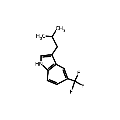 CC(C)Cc1c[nH]c2ccc(C(F)(F)F)cc12